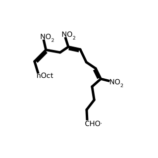 CCCCCCCC/C=C(\C/C(=C\C/C=C(\CCC[C]=O)[N+](=O)[O-])[N+](=O)[O-])[N+](=O)[O-]